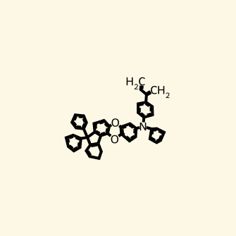 C=CC(=C)c1ccc(N(c2ccccc2)c2ccc3c(c2)Oc2ccc4c(c2O3)C2=C(C=CCC2)C4(c2ccccc2)c2ccccc2)cc1